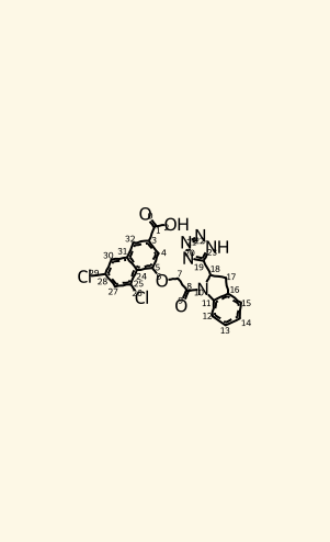 O=C(O)c1cc(OCC(=O)N2c3ccccc3CC2c2nnn[nH]2)c2c(Cl)cc(Cl)cc2c1